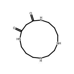 O=C1CC(=O)NCCCNCCNCCCN1